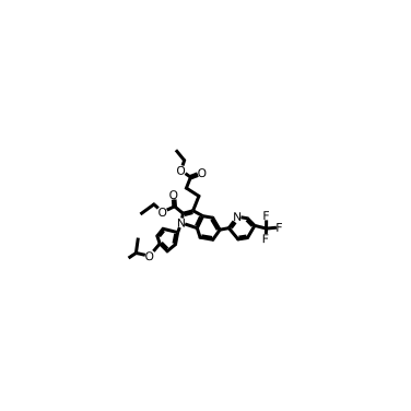 CCOC(=O)CCc1c(C(=O)OCC)n(-c2ccc(OC(C)C)cc2)c2ccc(-c3ccc(C(F)(F)F)cn3)cc12